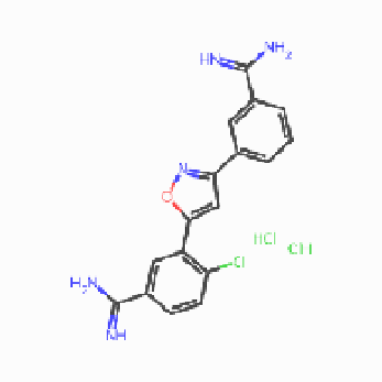 Cl.Cl.N=C(N)c1cccc(-c2cc(-c3cc(C(=N)N)ccc3Cl)on2)c1